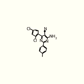 Cc1ccc(-c2nc(N)c(C#N)c(-c3ccc(Cl)cc3Cl)n2)cc1